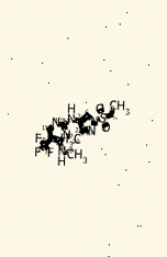 CCS(=O)(=O)n1cc(Nc2ncc(C(F)(F)F)c(NC)n2)c(C)n1